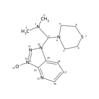 CN(C)C(N1CCSCC1)n1n[n+]([O-])c2ncccc21